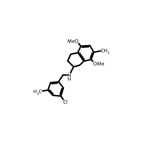 COc1cc(C)c(OC)c2c1CCC(NCc1cc(C)cc(Cl)c1)C2